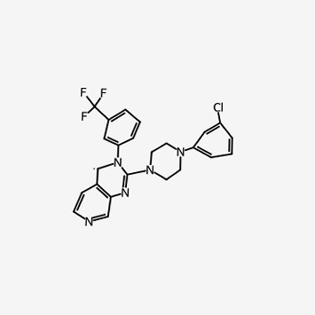 FC(F)(F)c1cccc(N2[CH]c3ccncc3N=C2N2CCN(c3cccc(Cl)c3)CC2)c1